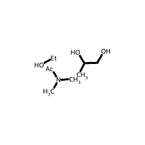 CC(=O)N(C)C.CC(O)CO.CCO